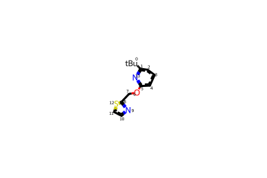 CC(C)(C)c1cccc(OCc2nccs2)n1